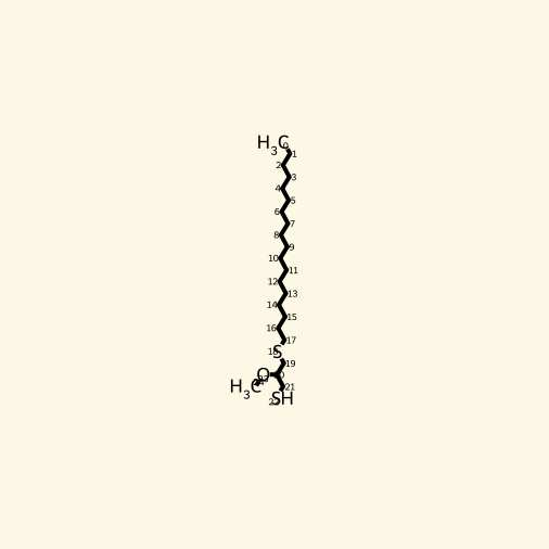 CCCCCCCCCCCCCCCCCCSCC(CS)OC